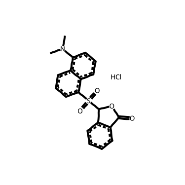 CN(C)c1cccc2c(S(=O)(=O)C3OC(=O)c4ccccc43)cccc12.Cl